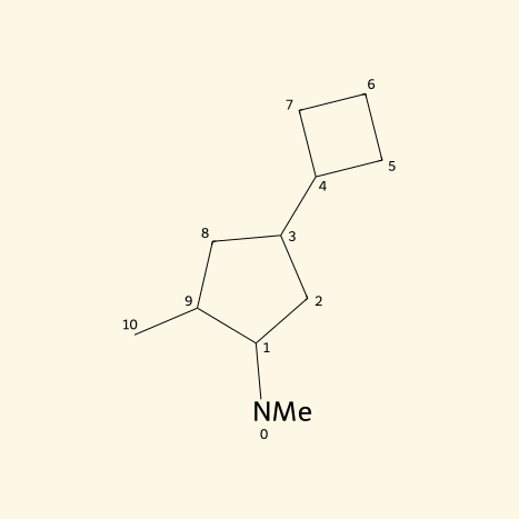 CNC1CC(C2CCC2)CC1C